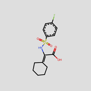 O=C(O)C(NS(=O)(=O)c1ccc(F)cc1)=C1CCCCC1